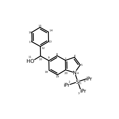 CC(C)[Si](C(C)C)(C(C)C)n1ccc2cc(C(O)c3ccccc3)ccc21